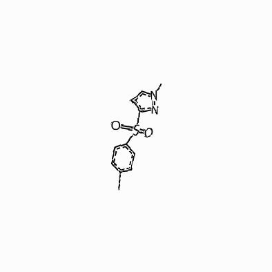 Cc1ccc(S(=O)(=O)c2ccn(C)n2)cc1